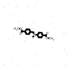 COC(=O)c1ccc(C=[N+]([O-])c2ccc(C(=O)OC)cc2)cc1